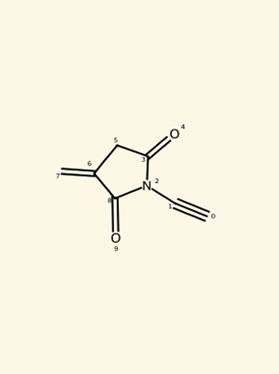 C#CN1C(=O)CC(=C)C1=O